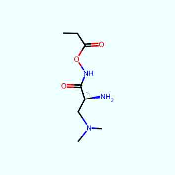 CCC(=O)ONC(=O)[C@@H](N)CN(C)C